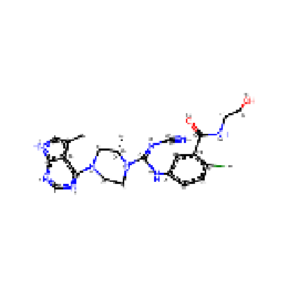 Cc1c[nH]c2ncnc(N3CCN(C(=NC#N)Nc4ccc(F)c(C(=O)NCCO)c4)[C@@H](C)C3)c12